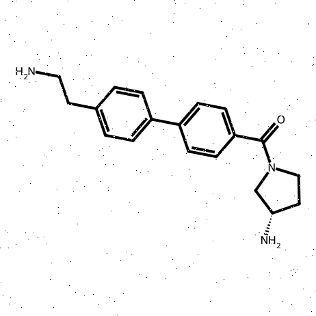 NCCc1ccc(-c2c[c]c(C(=O)N3CC[C@H](N)C3)cc2)cc1